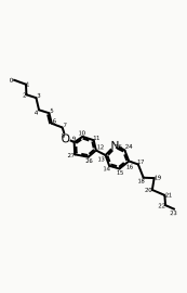 CCCCCC=CCOc1ccc(-c2ccc(CCCCCCC)cn2)cc1